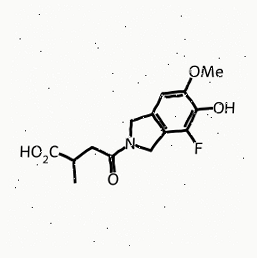 COc1cc2c(c(F)c1O)CN(C(=O)CC(C)C(=O)O)C2